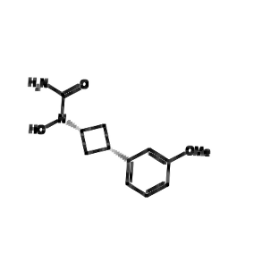 COc1cccc([C@H]2C[C@@H](N(O)C(N)=O)C2)c1